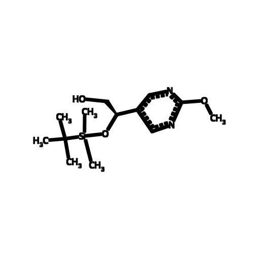 COc1ncc([C@H](CO)O[Si](C)(C)C(C)(C)C)cn1